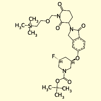 CC(C)(C)OC(=O)N1C[C@H](F)C[C@@H](Oc2ccc3c(c2)CN(C2CCC(=O)N(COCC[Si](C)(C)C)C2=O)C3=O)C1